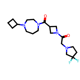 O=C(CN1CCC(F)(F)C1)N1CC(C(=O)N2CCCN(C3CCC3)CC2)C1